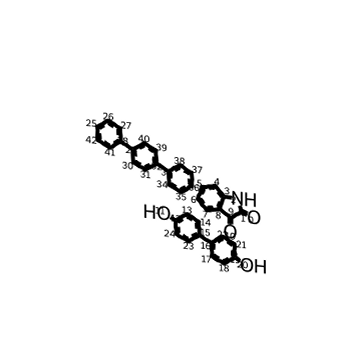 O=C1Nc2ccccc2C1=O.Oc1ccc(-c2ccc(O)cc2)cc1.c1ccc(-c2ccc(-c3ccccc3)cc2)cc1